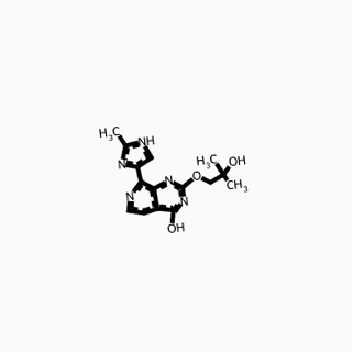 Cc1nc(-c2nccc3c(O)nc(OCC(C)(C)O)nc23)c[nH]1